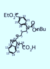 CCCCOC(=O)N(CCCSc1nc2ccccc2n1CC(=O)O)c1ccc(C(=O)OCC)cc1